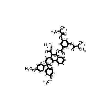 COC(=O)c1c2c(c3ccccc3c1OC(=O)c1cc(OC(=O)C(C)C)cc(OC(=O)C(C)C)c1)OC(c1ccc(OC)cc1)(c1ccc(OC)cc1)C=C2